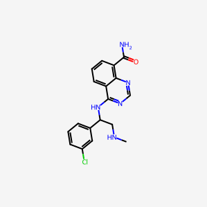 CNCC(Nc1ncnc2c(C(N)=O)cccc12)c1cccc(Cl)c1